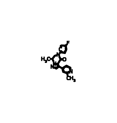 Cc1cc(-c2cnn3c2C(=O)N(c2ccc(F)cc2)CC3C)ccn1